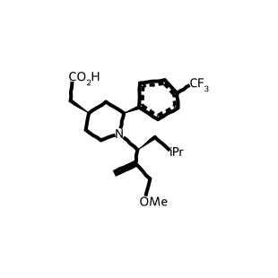 C=C(COC)[C@H](CC(C)C)N1CC[C@@H](CC(=O)O)C[C@H]1c1ccc(C(F)(F)F)cc1